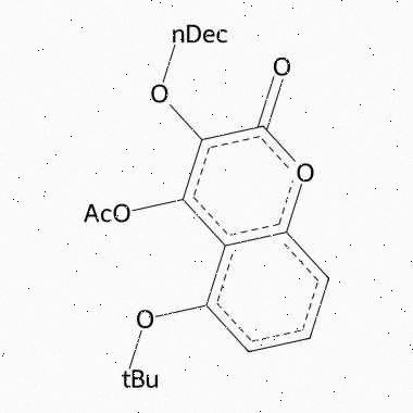 CCCCCCCCCCOc1c(OC(C)=O)c2c(OC(C)(C)C)cccc2oc1=O